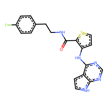 O=C(NCCc1ccc(F)cc1)c1sccc1Nc1ncnc2[nH]ccc12